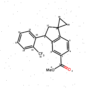 COC(=O)c1ccc2c(c1)C(c1ccccc1C(F)(F)F)CC21CC1